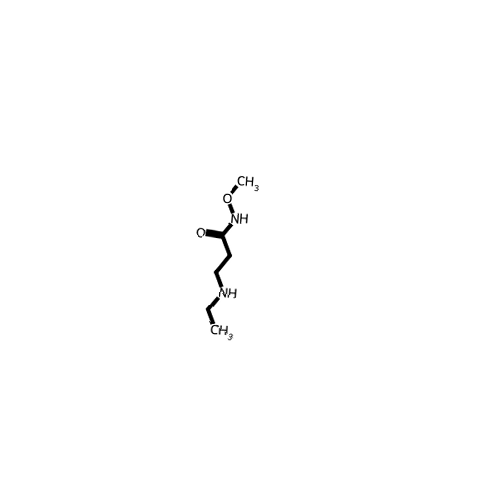 CCNCCC(=O)NOC